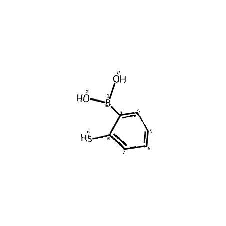 OB(O)c1ccccc1S